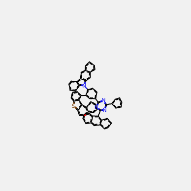 c1ccc(-c2nc(-c3ccc(-n4c5ccccc5c5cc6ccccc6cc54)c(-c4cccc5sc6ccc7ccccc7c6c45)c3)nc(-c3c4ccccc4cc4ccccc34)n2)cc1